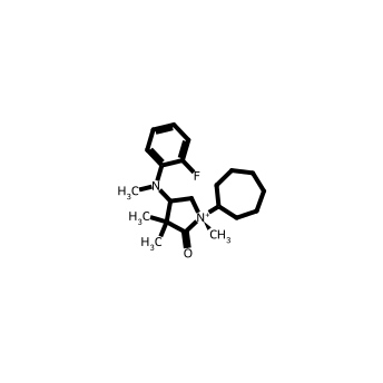 CN(c1ccccc1F)C1C[N@+](C)(C2CCCCCC2)C(=O)C1(C)C